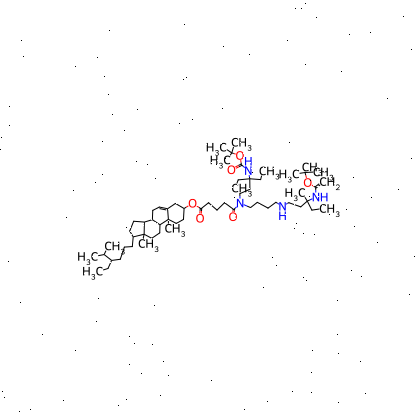 C=C(NC(C)(CC)CCNCCCCN(CCC(CC)(CC)NC(=O)OC(C)(C)C)C(=O)CCCC(=O)OC1CCC2(C)C(=CCC3C2CCC2(C)C(CCCC(CC)C(C)C)CCC32)C1)OC(C)(C)C